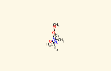 COCCOCCN1C(=O)C(C)(C)N(I)C1(C)C